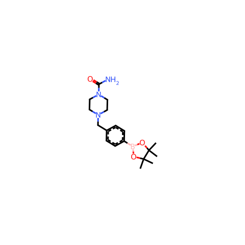 CC1(C)OB(c2ccc(CN3CCN(C(N)=O)CC3)cc2)OC1(C)C